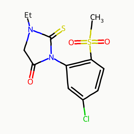 CCN1CC(=O)N(c2cc(Cl)ccc2S(C)(=O)=O)C1=S